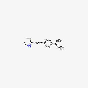 C/C=N\C(C#Cc1ccc(/C(=C/CC)CCC)cc1)=C/C